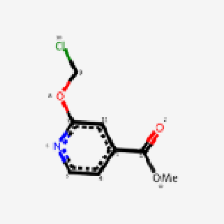 [CH2]OC(=O)c1ccnc(OCCl)c1